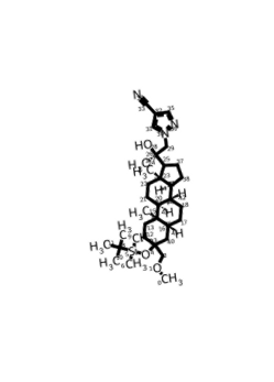 COCC1(O[Si](C)(C)C(C)(C)C)CC[C@@]2(C)[C@H](CC[C@@H]3[C@@H]2CC[C@]2(C)C([C@@](C)(O)Cn4cc(C#N)cn4)CC[C@@H]32)C1